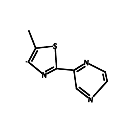 Cc1[c]nc(-c2cnccn2)s1